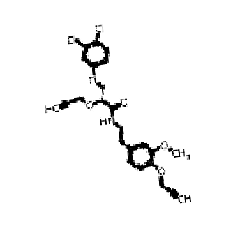 C#CCOc1ccc(CCNC(=O)[C@H](COc2ccc(Cl)c(Cl)c2)OCC#C)cc1OC